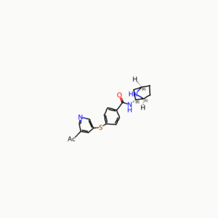 CC(=O)c1cncc(Sc2ccc(C(=O)N[C@@H]3C[C@H]4CC[C@@H]3N4)cc2)c1